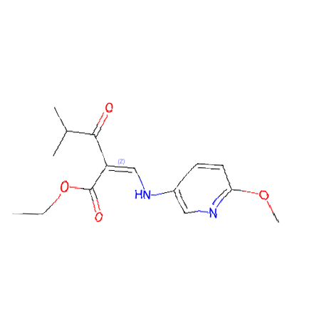 CCOC(=O)/C(=C\Nc1ccc(OC)nc1)C(=O)C(C)C